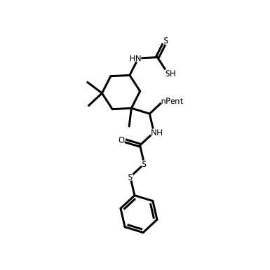 CCCCCC(NC(=O)SSc1ccccc1)C1(C)CC(NC(=S)S)CC(C)(C)C1